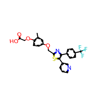 Cc1cc(OCc2nc(-c3ccc(C(F)(F)F)cc3)c(-c3cccnc3)s2)ccc1OCC(=O)O